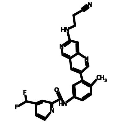 Cc1ccc(NC(=O)c2cc(C(F)F)ccn2)cc1-c1cnc2cc(NCCC#N)ncc2c1